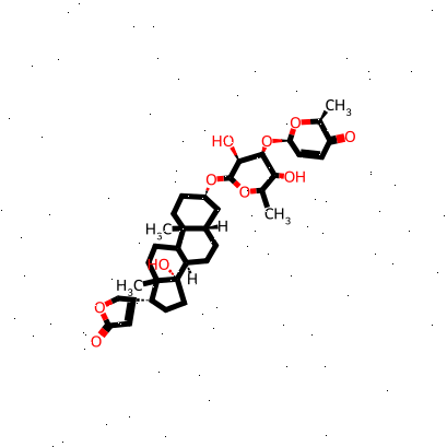 CC1OC(O[C@H]2CCC3(C)C4CCC5(C)[C@@H](C6=CC(=O)OC6)CC[C@]5(O)[C@@H]4CC[C@H]3C2)[C@@H](O)[C@@H](O[C@@H]2C=CC(=O)[C@H](C)O2)C1O